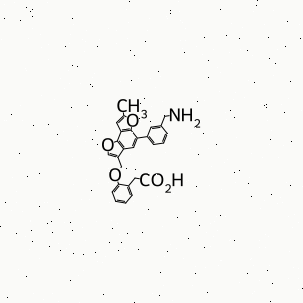 Cc1cc2c(o1)c(-c1cccc(CN)c1)cc1c(COc3ccccc3CC(=O)O)coc12